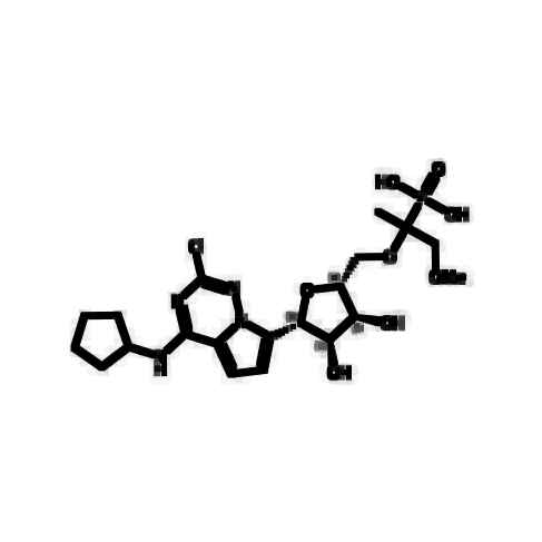 COCC(C)(OC[C@H]1O[C@@H](c2ccc3c(NC4CCCC4)nc(Cl)nn23)[C@H](O)[C@@H]1O)P(=O)(O)O